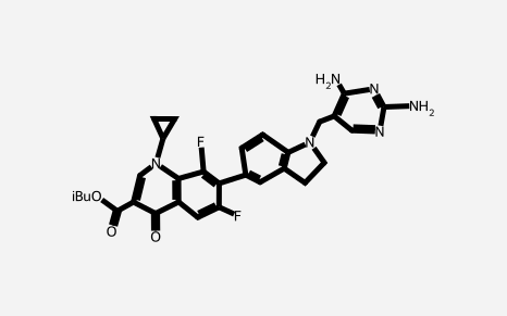 CC(C)COC(=O)c1cn(C2CC2)c2c(F)c(-c3ccc4c(c3)CCN4Cc3cnc(N)nc3N)c(F)cc2c1=O